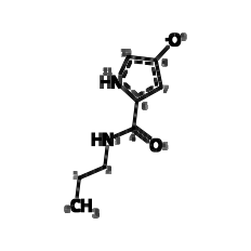 CCCNC(=O)c1cc([O])c[nH]1